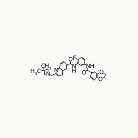 CC1(C)CN(Cc2ccc3cc(C(=O)Nc4cc(NC(=O)c5ccc6c(c5)OCCO6)ccc4F)ccc3n2)C1